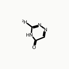 [2H]c1nncc(=O)[nH]1